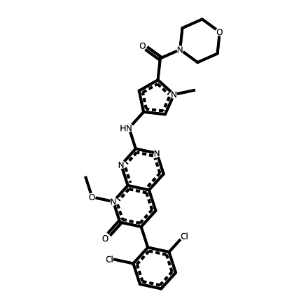 COn1c(=O)c(-c2c(Cl)cccc2Cl)cc2cnc(Nc3cc(C(=O)N4CCOCC4)n(C)c3)nc21